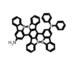 Nc1cc2c3c(c1)-c1c4c5ccccc5n5c4c(c4c6ccccc6n(c14)B3c1ccccc1-2)-c1cc(N(c2ccccc2)c2ccccc2)cc2c1B5c1ccccc1-2